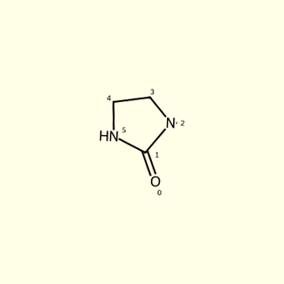 O=C1[N]CCN1